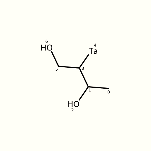 CC(O)[CH]([Ta])CO